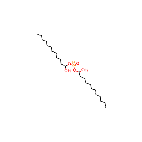 CCCCCCCCCCCC(O)O[PH](=O)OC(O)CCCCCCCCCCC